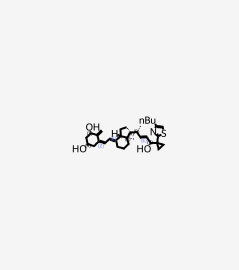 C=C1/C(=C\C=C2/CCC[C@]3(C)[C@@H]([C@H](C)/C=C/[C@H](O)C4(c5nc(CCCC)cs5)CC4)CC[C@@H]23)C[C@@H](O)C[C@@H]1O